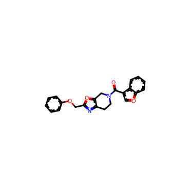 O=C(c1coc2ccccc12)N1CCc2nc(COc3ccccc3)oc2C1